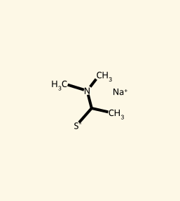 CC([S-])N(C)C.[Na+]